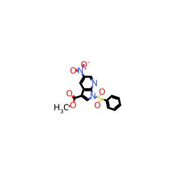 COC(=O)c1cn(S(=O)(=O)c2ccccc2)c2ncc([N+](=O)[O-])cc12